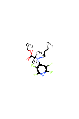 CCCCN(c1c(F)c(F)nc(F)c1F)C(C)(C)C(=O)OCC